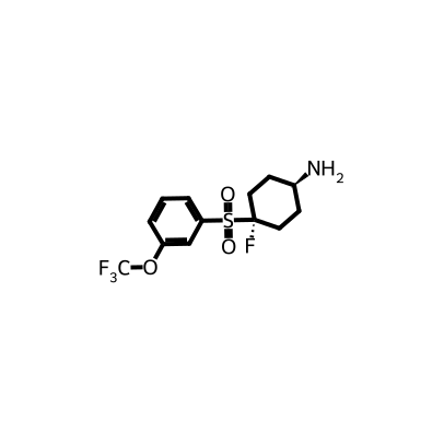 N[C@H]1CC[C@@](F)(S(=O)(=O)c2cccc(OC(F)(F)F)c2)CC1